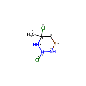 CC1(Cl)CSNN(Cl)N1